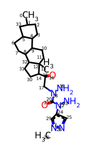 CC1CCC2C(CCC3C2CCC2(C)C(C(=O)CN(N)C(=O)N(N)c4cnn(C)c4)CCC32)C1